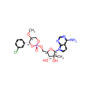 CO[C@H]1COP(=O)(OC[C@H]2O[C@@H](n3ccc4c(N)ncnc43)[C@](C)(O)[C@@H]2O)O[C@@H]1c1cccc(Cl)c1